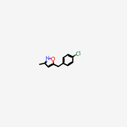 Cc1cc(Cc2ccc(Cl)cc2)on1